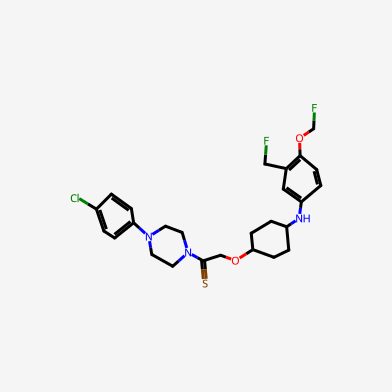 FCOc1ccc(NC2CCC(OCC(=S)N3CCN(c4ccc(Cl)cc4)CC3)CC2)cc1CF